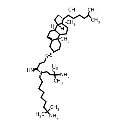 CC(C)CCC[C@@H](C)[C@H]1CC[C@H]2[C@@H]3CC=C4C[C@@H](SSCCC(=N)N(CCCCCCCC(C)(C)N)CCC(C)(C)N)CC[C@]4(C)C3CC[C@]12C